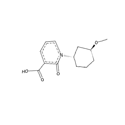 CO[C@H]1CCC[C@H](n2cccc(C(=O)O)c2=O)C1